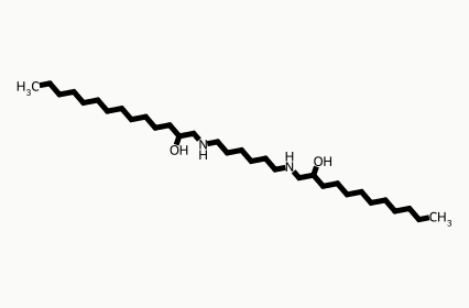 CCCCCCCCCCCCC(O)CNCCCCCCNCC(O)CCCCCCCCCC